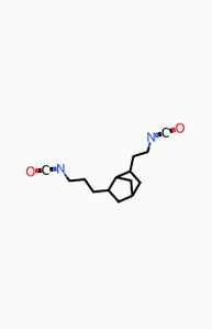 O=C=NCCCC1CC2CC(CCN=C=O)C1C2